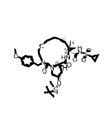 COc1ccc(CN2CCCCC/C=C\[C@@H]3C[C@@]3(C(=O)NS(=O)(=O)C3CC3)NC(=O)[C@@H]3C[C@@H](O[Si](C)(C)C(C)(C)C)CN3C2=O)cc1